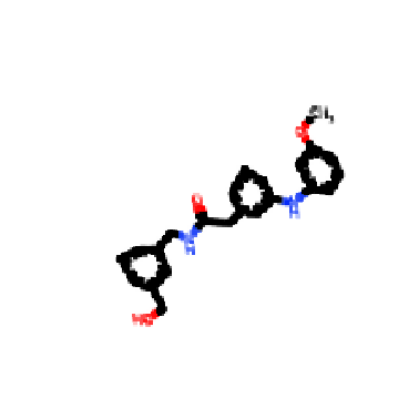 COc1cccc(Nc2cccc(CC(=O)NCc3cccc(CO)c3)c2)c1